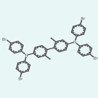 Cc1cc(N(c2ccc(Br)cc2)c2ccc(Br)cc2)ccc1-c1ccc(N(c2ccc(Br)cc2)c2ccc(Br)cc2)cc1C